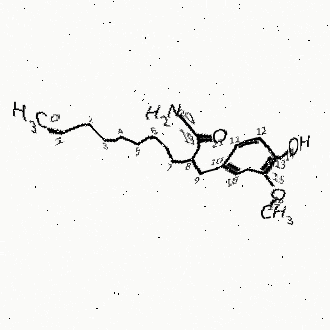 CCCCCCCCC(Cc1ccc(O)c(OC)c1)C(N)=O